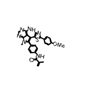 C=C(C)C(=O)Nc1ccc(-c2c(-c3cnc(-c4ccc(OC)cc4)s3)c3c(N)ncnc3n2C)cc1